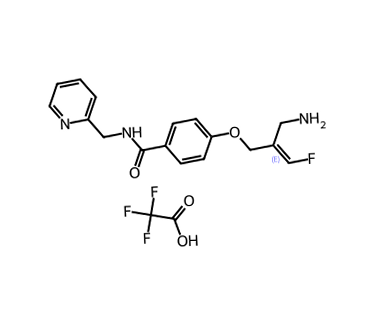 NC/C(=C\F)COc1ccc(C(=O)NCc2ccccn2)cc1.O=C(O)C(F)(F)F